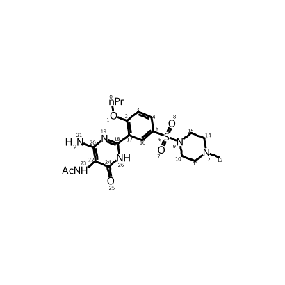 CCCOc1ccc(S(=O)(=O)N2CCN(C)CC2)cc1-c1nc(N)c(NC(C)=O)c(=O)[nH]1